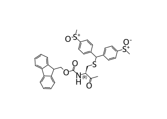 CC(=O)[C@H](CSC(c1ccc([S+](C)[O-])cc1)c1ccc([S+](C)[O-])cc1)NC(=O)OCC1c2ccccc2-c2ccccc21